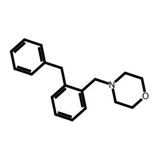 c1ccc(Cc2ccccc2CN2CCOCC2)cc1